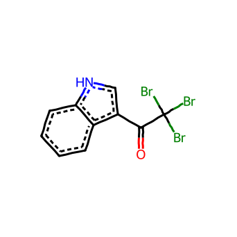 O=C(c1c[nH]c2ccccc12)C(Br)(Br)Br